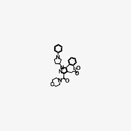 O=C(c1nn(C2CCN(c3ccccc3)C2)c2c1CS(=O)(=O)c1ccccc1-2)N1CCOCC1